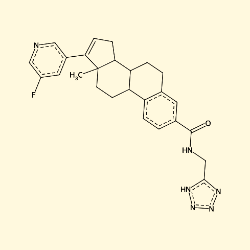 CC12CCC3c4ccc(C(=O)NCc5nnn[nH]5)cc4CCC3C1CC=C2c1cncc(F)c1